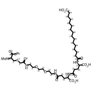 CNC(CSCC(=O)NCCOCCOCCNC(=O)CCC(NC(=O)CCC(NC(=O)CCCCCCCCCCCCCCC(=O)O)C(=O)O)C(=O)O)C(=O)C(C)C